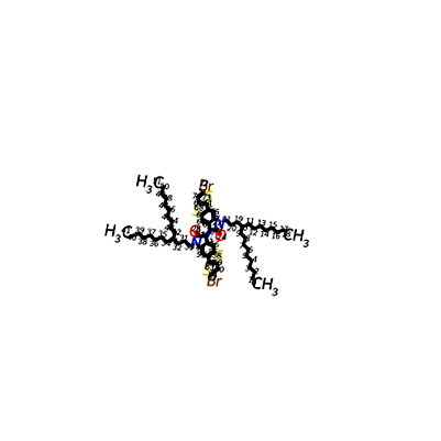 CCCCCCCCCCC(CCCCCCCC)CCCN1C(=O)/C(=C2/C(=O)N(CCCC(CCCCCCCC)CCCCCCCCCC)c3cc4c(cc32)sc2cc(Br)sc24)c2cc3sc4cc(Br)sc4c3cc21